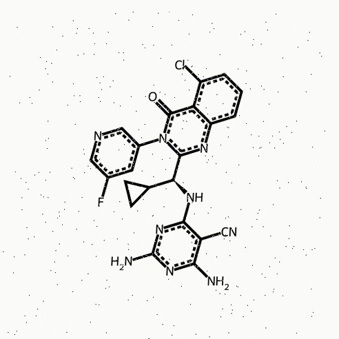 N#Cc1c(N)nc(N)nc1N[C@H](c1nc2cccc(Cl)c2c(=O)n1-c1cncc(F)c1)C1CC1